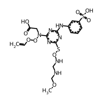 C=COON(CC(=O)O)c1nc(Nc2cccc(S(=O)(=O)O)c2)nc(SONCNCOC)n1